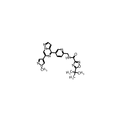 Cn1cc(-c2cn3nccc3c(-c3ccc(CNC(=O)c4noc(C(C)(C)C)n4)nc3)n2)cn1